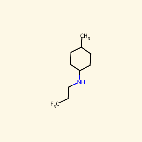 CC1CCC(NCCC(F)(F)F)CC1